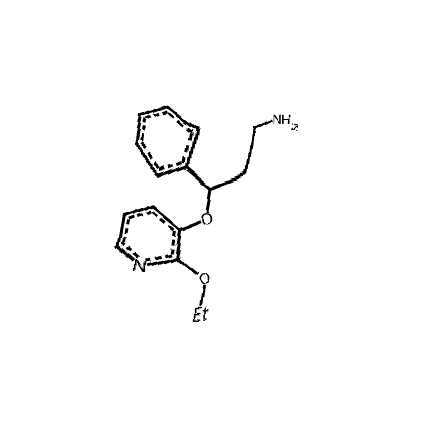 CCOc1ncccc1OC(CCN)c1ccccc1